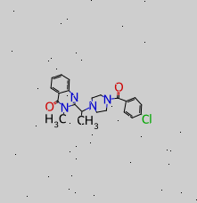 CC(c1nc2ccccc2c(=O)n1C)N1CCN(C(=O)c2ccc(Cl)cc2)CC1